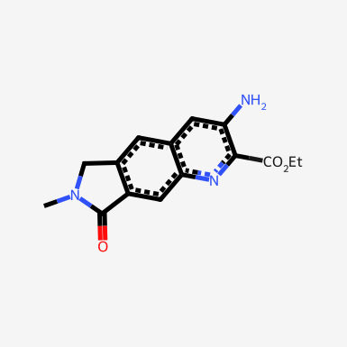 CCOC(=O)c1nc2cc3c(cc2cc1N)CN(C)C3=O